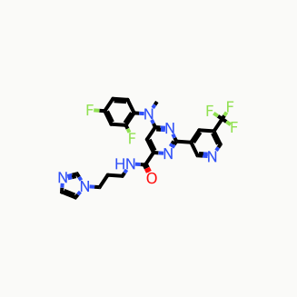 CN(c1cc(C(=O)NCCCn2ccnc2)nc(-c2cncc(C(F)(F)F)c2)n1)c1ccc(F)cc1F